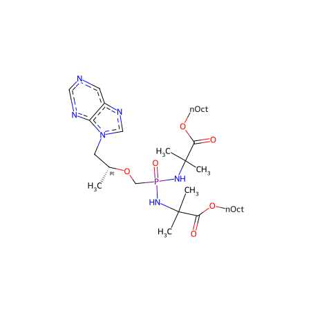 CCCCCCCCOC(=O)C(C)(C)NP(=O)(CO[C@H](C)Cn1cnc2cncnc21)NC(C)(C)C(=O)OCCCCCCCC